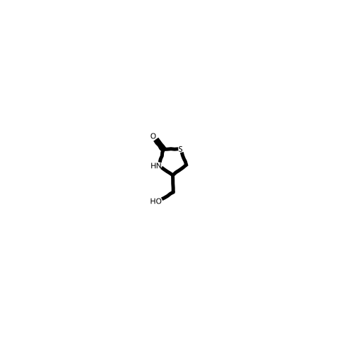 O=C1NC(CO)CS1